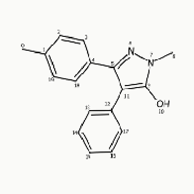 Cc1ccc(-c2nn(C)c(O)c2-c2ccccc2)cc1